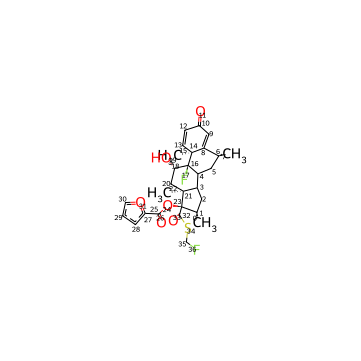 C[C@@H]1CC2C3C[C@H](C)C4=CC(=O)C=C[C@]4(C)[C@@]3(F)[C@@H](O)C[C@]2(C)[C@@]1(OC(=O)c1ccco1)C(=O)SCF